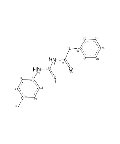 Cc1ccc(NC(=S)NC(=O)Cc2ccccc2)cc1